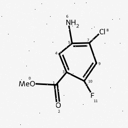 COC(=O)c1cc(N)c(Cl)cc1F